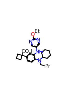 CCOc1ncc(Nc2cc(C3(C(=O)O)CCC3)ccc2N(CC(C)C)C2CCCCC2)cn1